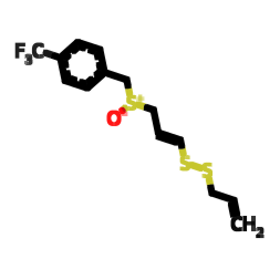 C=CCSS/C=C/C[S+]([O-])Cc1ccc(C(F)(F)F)cc1